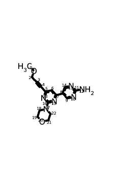 COCC#Cc1cc(-c2cnc(N)nc2)nc(N2CCOCC2)n1